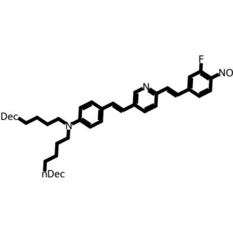 CCCCCCCCCCCCCCN(CCCCCCCCCCCCCC)c1ccc(/C=C/c2ccc(/C=C/c3ccc([N+](=O)[O-])c(F)c3)nc2)cc1